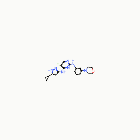 Fc1cnc(Nc2cccc(N3CCOCC3)c2)nc1Nc1cc(C2CC2)[nH]n1